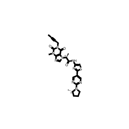 CC#CCn1c(=O)c2c(ncn2[C@@H](C)C(=O)Nc2csc(-c3cnc(N4CCC[C@@H]4C)nc3)n2)n(C)c1=O